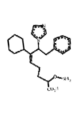 NOC(CC/C=C(/C1CCCCC1)C(Cc1ccccc1)n1ccnc1)C(=O)O